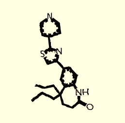 CCCC1(CCC)CCC(=O)Nc2ccc(-c3csc(-c4ccncc4)n3)cc21